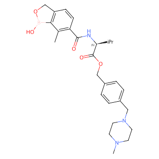 Cc1c(C(=O)N[C@H](C(=O)OCc2ccc(CN3CCN(C)CC3)cc2)C(C)C)ccc2c1B(O)OC2